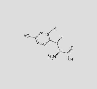 N[C@H](C(=O)O)C(I)c1ccc(O)cc1I